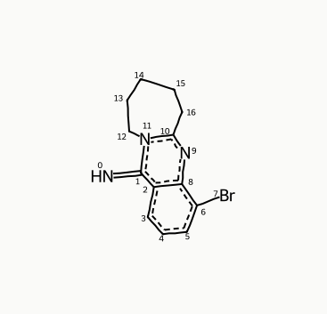 N=c1c2cccc(Br)c2nc2n1CCCCC2